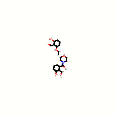 O=Cc1c(O)cccc1OCC[C@H]1CN(C(=O)c2cccc(O)c2C=O)CCO1